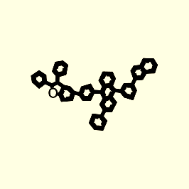 c1ccc(-c2ccc3c(-c4cccc(-c5ccc6ccccc6c5)c4)c4ccccc4c(-c4ccc(-c5ccc6c(c5)C(c5ccccc5)C(c5ccccc5)O6)cc4)c3c2)cc1